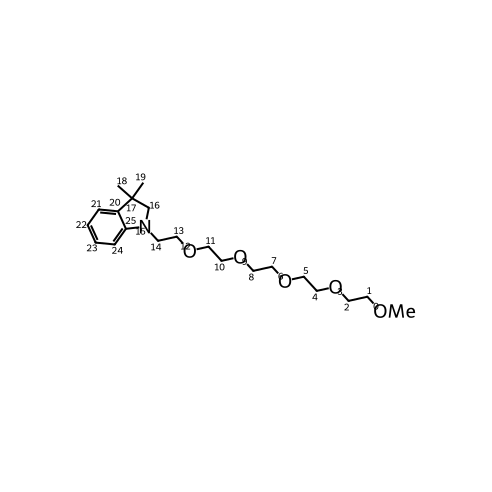 COCCOCCOCCOCCOCCN1CC(C)(C)c2ccccc21